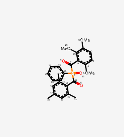 COc1ccc(OC)c(C(=O)P(=O)(C(=O)c2c(C)cc(C)cc2C)c2ccccc2)c1OC